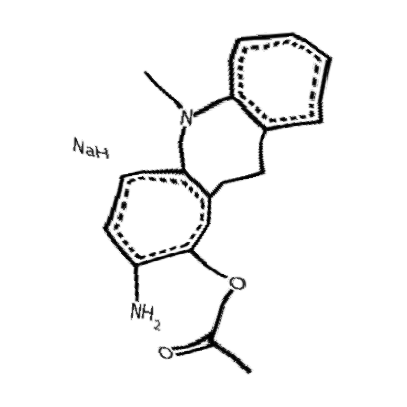 CC(=O)Oc1c(N)ccc2c1Cc1ccccc1N2C.[NaH]